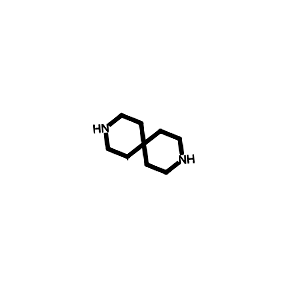 [CH]1CNCCC12CCNCC2